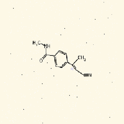 CNC(=O)c1ccc(/C(C)=C/C#N)cc1